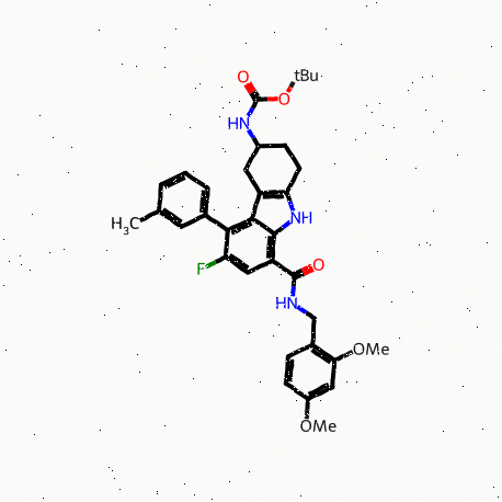 COc1ccc(CNC(=O)c2cc(F)c(-c3cccc(C)c3)c3c4c([nH]c23)CCC(NC(=O)OC(C)(C)C)C4)c(OC)c1